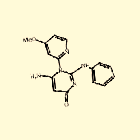 COc1ccnc(-n2c(N)cc(=O)nc2Nc2ccccc2)c1